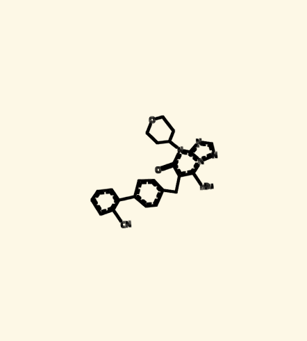 CCCCc1c(Cc2ccc(-c3ccccc3C#N)cc2)c(=O)n(C2CCOCC2)c2ncnn12